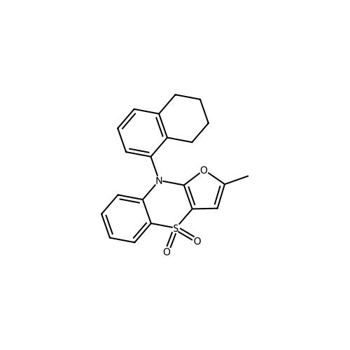 Cc1cc2c(o1)N(c1cccc3c1CCCC3)c1ccccc1S2(=O)=O